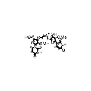 CO[C@@H]1[C@H](O)[C@@H](CN(C)CCO[C@H]2[C@@H](OC)[C@H](n3ccc(=O)[nH]c3=O)O[C@@H]2CO)O[C@H]1n1ccc(=O)[nH]c1=O